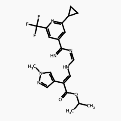 CC(C)OC(=O)/C(=C/N/C=N\C(=N)c1cc(C2CC2)nc(C(F)(F)F)c1)c1cnn(C)c1